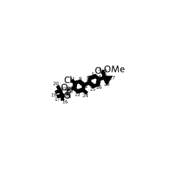 COC(=O)C1(c2ccc(-c3cc(Cl)c(B4OC(C)(C)C(C)(C)O4)cc3C)cc2)CC1